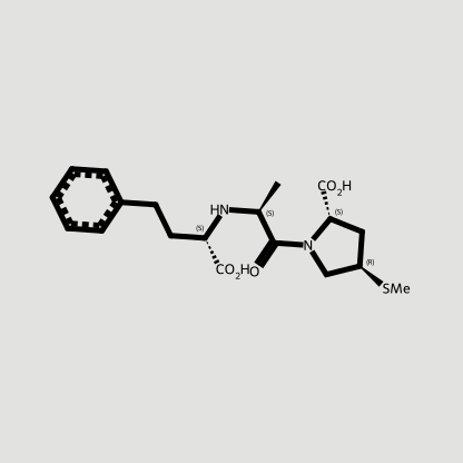 CS[C@@H]1C[C@@H](C(=O)O)N(C(=O)[C@H](C)N[C@@H](CCc2ccccc2)C(=O)O)C1